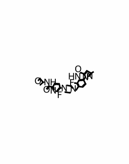 Cc1cc2c(=O)[nH]c3c(F)c(CN4CCN(c5ccc(C(=O)NC6COC6)nc5F)CC4)ccc3n2n1